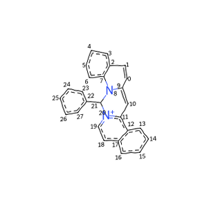 C1=Cc2ccccc2N2C1=Cc1c3ccccc3cc[n+]1C2c1ccccc1